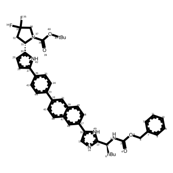 CCCC[C@H](NC(=O)OCc1ccccc1)c1ncc(-c2ccc3cc(-c4ccc(-c5ccc([C@@H]6CC(F)(F)CN6C(=O)OC(C)(C)C)[nH]5)cc4)ccc3c2)[nH]1